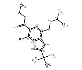 CCOC(=O)c1nc(CSC(C)C)c2nc(C(C)(C)C)sc2c1O